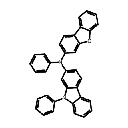 c1ccc(N(c2ccc3c(c2)oc2ccccc23)c2ccc3c4ccccc4n(-c4ccccc4)c3c2)cc1